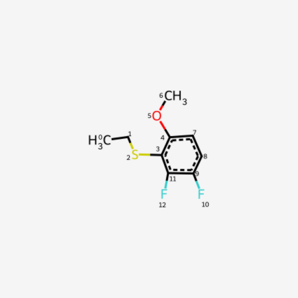 CCSc1c(OC)ccc(F)c1F